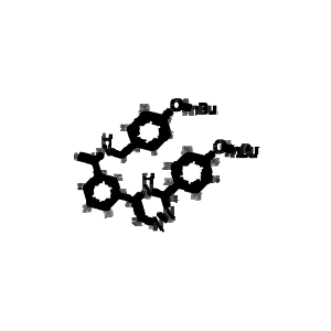 C=C(NCc1ccc(OCCCC)cc1)c1cccc(C2=CN=NC(c3ccc(OCCCC)cc3)N2)c1